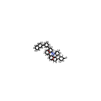 C=C1C=CC(c2ccccc2-c2ccccc2N(c2ccccc2C2=CCCC=C2)C2C=CC(c3cccc(-c4ccc5ccccc5c4)c3)=CC2)=CC1